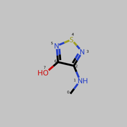 CNc1nsnc1O